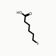 O=C(O)CCCCC[S]